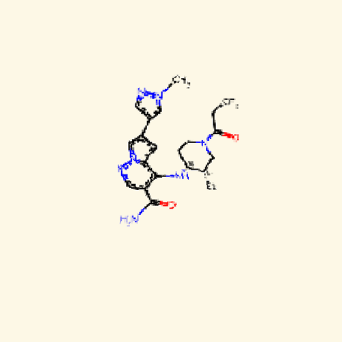 CC[C@H]1CN(C(=O)CC(F)(F)F)CC[C@H]1Nc1c(C(N)=O)cnn2cc(-c3cnn(C)c3)cc12